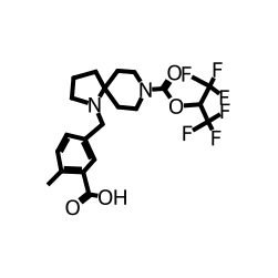 Cc1ccc(CN2CCCC23CCN(C(=O)OC(C(F)(F)F)C(F)(F)F)CC3)cc1C(=O)O